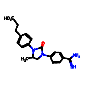 CC1CN(c2ccc(C(=N)N)cc2)C(=O)N1c1ccc(CCC(=O)O)cc1